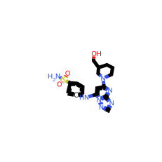 NS(=O)(=O)c1ccc(Nc2cc(N3CCCC(CO)C3)nc3ncnn23)cc1